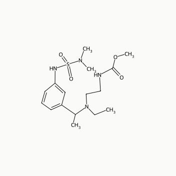 CCN(CCNC(=O)OC)C(C)c1cccc(NS(=O)(=O)N(C)C)c1